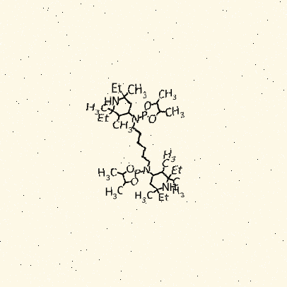 CCC1(C)CC(N(CCCCCCN(C2CC(C)(CC)NC(C)(CC)C2C)P2OC(C)C(C)O2)P2OC(C)C(C)O2)C(C)C(C)(CC)N1